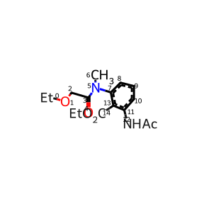 CCOCC(=O)N(C)c1cccc(NC(C)=O)c1C(=O)OCC